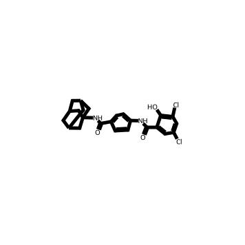 O=C(NC12CC3CC(CC(C3)C1)C2)c1ccc(NC(=O)c2cc(Cl)cc(Cl)c2O)cc1